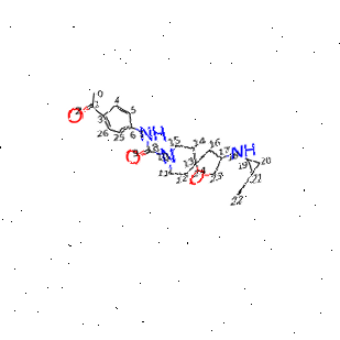 CC(=O)c1ccc(NC(=O)N2CCC3(CC2)CC(N[C@@H]2C[C@H]2C)CO3)cc1